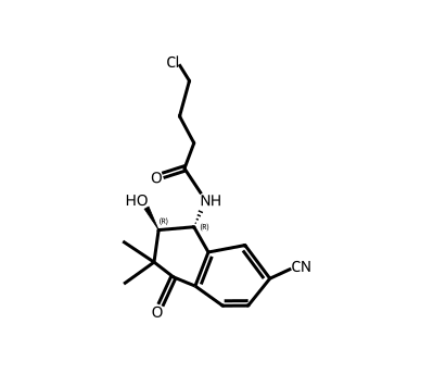 CC1(C)C(=O)c2ccc(C#N)cc2[C@@H](NC(=O)CCCCl)[C@@H]1O